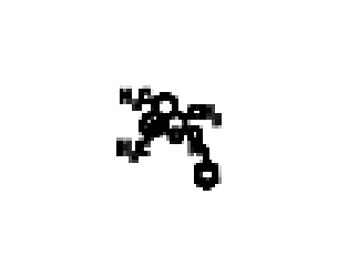 C[C@H]1C(ON=Cc2ccccc2)OC2O[C@]3(C)CCC4[C@H](C)CCC1[C@@]24OO3